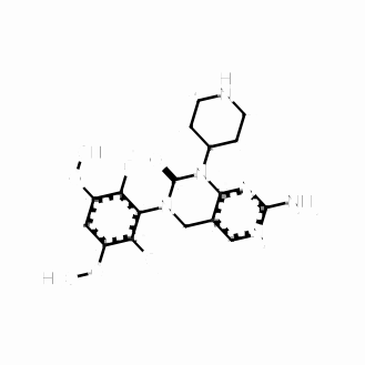 COc1cc(OC)c(Cl)c(N2Cc3cnc(N)nc3N(C3CCNCC3)C2=O)c1Cl